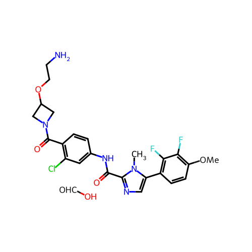 COc1ccc(-c2cnc(C(=O)Nc3ccc(C(=O)N4CC(OCCN)C4)c(Cl)c3)n2C)c(F)c1F.O=CO